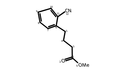 COC(=O)CCCc1ccccc1C#N